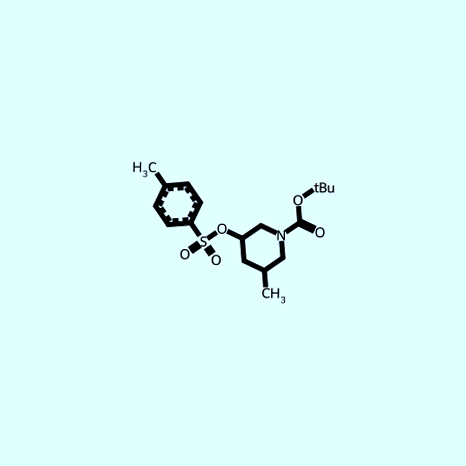 Cc1ccc(S(=O)(=O)OC2CC(C)CN(C(=O)OC(C)(C)C)C2)cc1